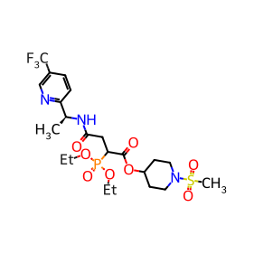 CCOP(=O)(OCC)C(CC(=O)N[C@@H](C)c1ccc(C(F)(F)F)cn1)C(=O)OC1CCN(S(C)(=O)=O)CC1